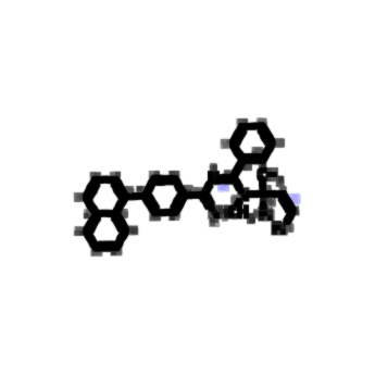 CC/C=C\[C@](C)(CC)N(C)/C(=N\C(=N)c1ccc(-c2cccc3ccccc23)cc1)c1ccccc1